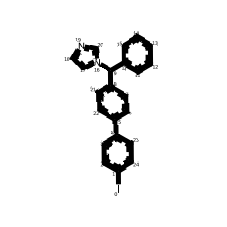 Ic1ccc(-c2ccc(C(c3ccccc3)n3ccnc3)cc2)cc1